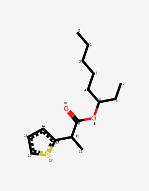 CCCCCC(CC)OC(=O)C(C)c1cccs1